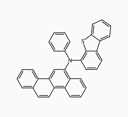 c1ccc(N(c2cc3c4ccccc4ccc3c3ccccc23)c2cccc3c2sc2ccccc23)cc1